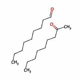 CCCCCCCC(C)=O.CCCCCCCCC=O